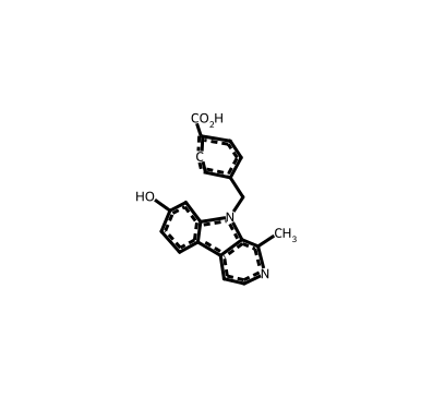 Cc1nccc2c3ccc(O)cc3n(Cc3ccc(C(=O)O)cc3)c12